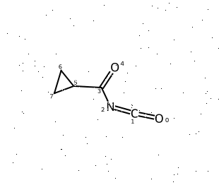 O=C=NC(=O)C1CC1